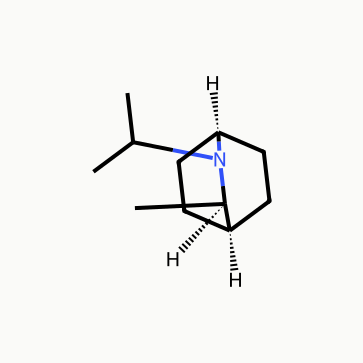 CC(C)N1[C@H]2CC[C@H](CC2)[C@H]1C